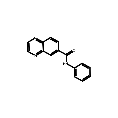 O=C(Nc1ccccc1)c1ccc2nccnc2c1